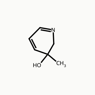 CC1(O)C=CC=NC1